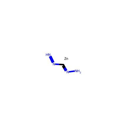 N=N/C=N/N.[Zn]